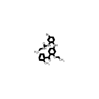 CCNC(=O)Nc1cc(Br)ccc1Nc1ccc(C(=O)c2ccccc2C)c(OCC)c1